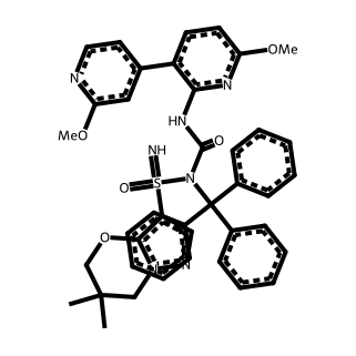 COc1cc(-c2ccc(OC)nc2NC(=O)N(C(c2ccccc2)(c2ccccc2)c2ccccc2)S(=N)(=O)c2cnn3c2OCC(C)(C)C3)ccn1